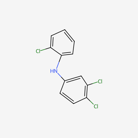 Clc1ccc(Nc2ccccc2Cl)cc1Cl